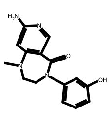 CN1CCN(c2cccc(O)c2)C(=O)c2cnc(N)cc21